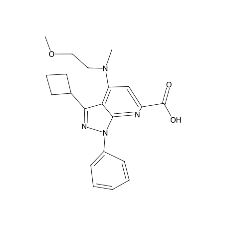 COCCN(C)c1cc(C(=O)O)nc2c1c(C1CCC1)nn2-c1ccccc1